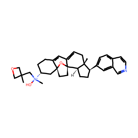 CC1(C[N+](C)(O)[C@@H]2CCC3=CC4=CC[C@]5(C)[C@@H](c6ccc7ccncc7c6)CC[C@H]5[C@@]45CC[C@]3(C2)O5)COC1